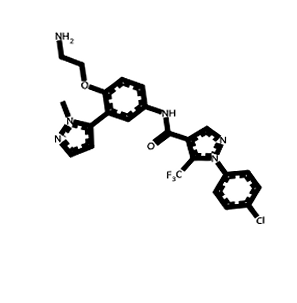 Cn1nccc1-c1cc(NC(=O)c2cnn(-c3ccc(Cl)cc3)c2C(F)(F)F)ccc1OCCN